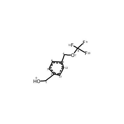 OCc1ccc(COC(F)(F)F)cc1